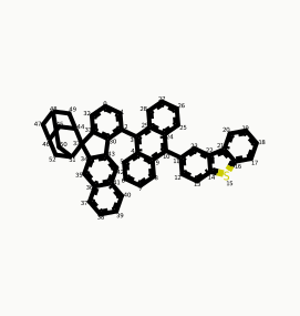 c1cc(-c2c3ccccc3c(-c3ccc4sc5ccccc5c4c3)c3ccccc23)c2c(c1)C1(c3cc4ccccc4cc3-2)C2CC3CC(C2)CC1C3